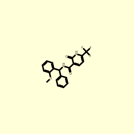 COc1ccccc1C(NC(=O)c1ccc(C(F)(F)F)[nH]c1=O)c1ccccc1